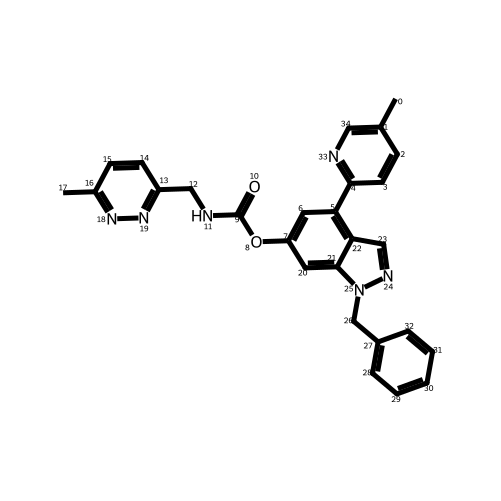 Cc1ccc(-c2cc(OC(=O)NCc3ccc(C)nn3)cc3c2cnn3Cc2ccccc2)nc1